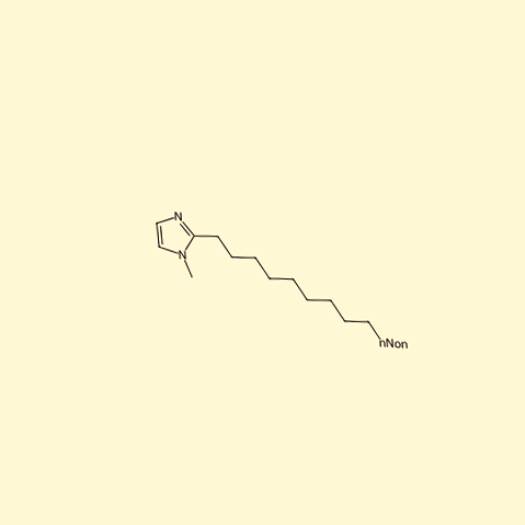 CCCCCCCCCCCCCCCCCCc1nccn1C